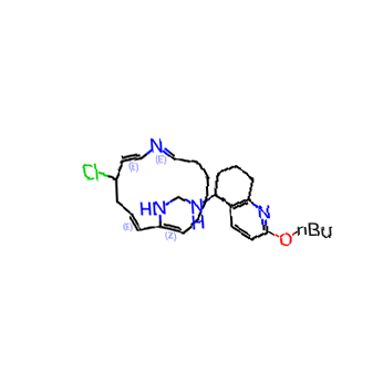 CCCCOc1ccc2c(n1)CCCC2NCNC1=C\CCCC/C=N/C=C/C(Cl)C\C=C\1